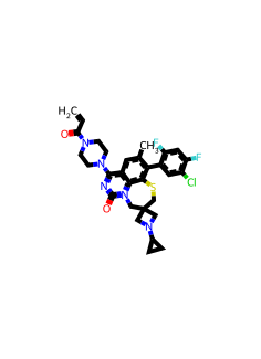 C=CC(=O)N1CCN(c2nc(=O)n3c4c(c(-c5cc(Cl)c(F)cc5F)c(C)cc24)SCC2(CN(C4CC4)C2)C3)CC1